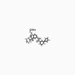 COCCOc1ccc(NC(=O)c2cccc(-n3cccc3)c2)cc1S(=O)(=O)N1CCOCC1